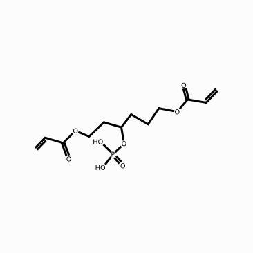 C=CC(=O)OCCCC(CCOC(=O)C=C)OP(=O)(O)O